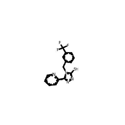 FC(F)(F)c1cccc(Cn2c(S)nnc2-c2ccccn2)c1